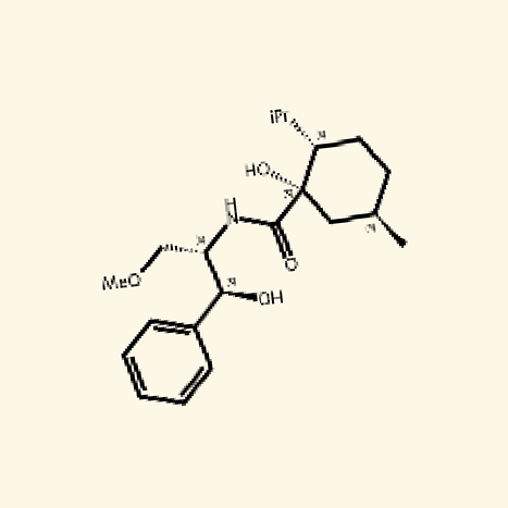 COC[C@H](NC(=O)[C@]1(O)C[C@H](C)CC[C@H]1C(C)C)[C@@H](O)c1ccccc1